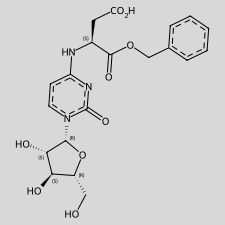 O=C(O)C[C@H](Nc1ccn([C@@H]2O[C@H](CO)[C@@H](O)[C@@H]2O)c(=O)n1)C(=O)OCc1ccccc1